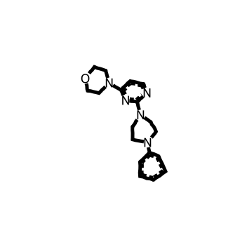 c1ccc(N2CCN(c3nccc(N4CCOCC4)n3)CC2)cc1